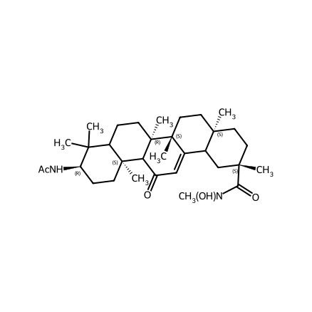 CC(=O)N[C@@H]1CC[C@@]2(C)C(CC[C@]3(C)C2C(=O)C=C2C4C[C@@](C)(C(=O)N(C)O)CC[C@]4(C)CC[C@]23C)C1(C)C